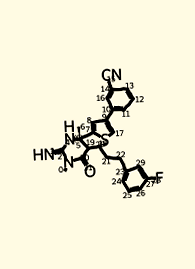 CN1C(=N)N[C@](C)(c2cc(-c3cccc(C#N)c3)cs2)C(CCCc2cccc(F)c2)C1=O